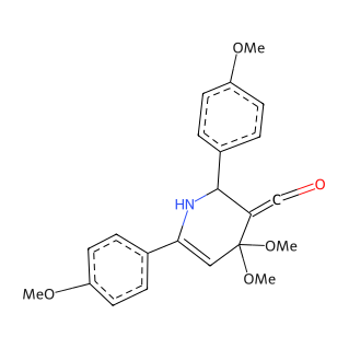 COc1ccc(C2=CC(OC)(OC)C(=C=O)C(c3ccc(OC)cc3)N2)cc1